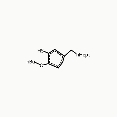 CCCCCCCCc1ccc(OCCCC)c(S)c1